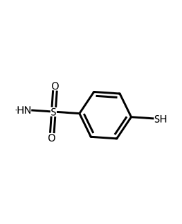 [NH]S(=O)(=O)c1ccc(S)cc1